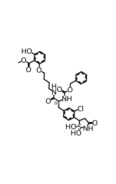 COC(=O)c1c(O)cccc1OCCCCNC(=O)[C@H](Cc1ccc(C2CC(=O)NS2(O)O)c(Cl)c1)NC(=O)OCc1ccccc1